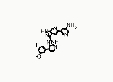 COc1cc(F)cc(-c2ccnc3[nH]c(-c4n[nH]c5cnc(-c6cncc(N)c6)cc45)nc23)c1